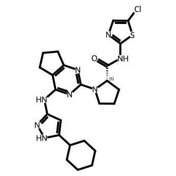 O=C(Nc1ncc(Cl)s1)[C@@H]1CCCN1c1nc2c(c(Nc3cc(C4CCCCC4)[nH]n3)n1)CCC2